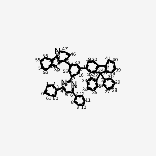 c1ccc(-c2cc(-c3ccccc3)nc(-c3cc(-c4ccc5c(c4)C(c4ccccc4)(c4ccccc4)c4ccccc4-5)cc(-c4ccnc5c4sc4ccccc45)c3)n2)cc1